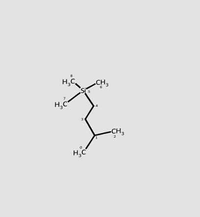 CC(C)CC[Si](C)(C)C